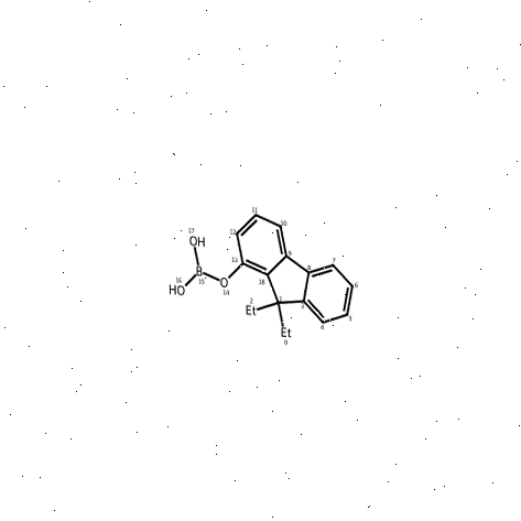 CCC1(CC)c2ccccc2-c2cccc(OB(O)O)c21